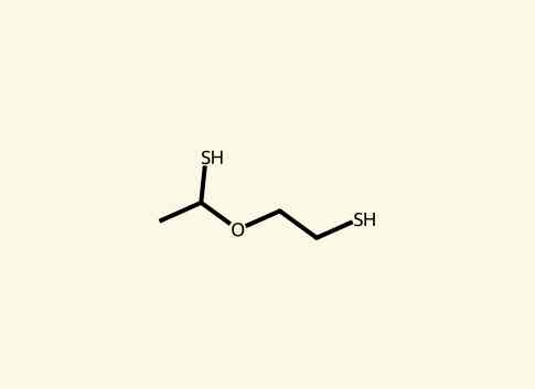 CC(S)OCCS